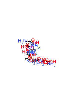 CC(C)C[C@H](N)C(=O)O.CC(C)[C@H](N)C(=O)O.CSCC[C@H](N)C(=O)O.C[C@H](N)C(=O)O.NC(=O)C[C@H](N)C(=O)O.NCC(=O)O.NCCCC[C@H](N)C(=O)O.N[C@@H](CO)C(=O)O